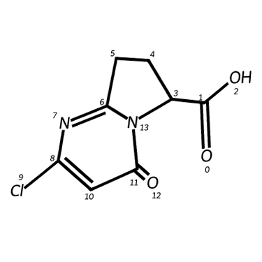 O=C(O)C1CCc2nc(Cl)cc(=O)n21